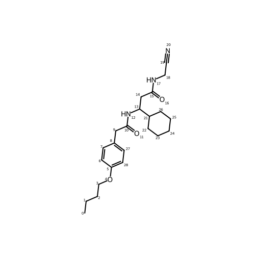 CCCCOc1ccc(CC(=O)NC(CC(=O)NCC#N)C2CCCCC2)cc1